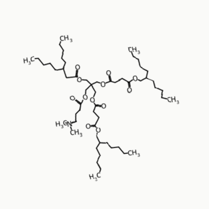 CCCCCC(CCCCC)COC(=O)CCC(=O)OCC(COC(=O)CCCN(C)C)(COC(=O)CCC(=O)OCC(CCCCC)CCCCC)COC(=O)CC(CCCCC)CCCCC